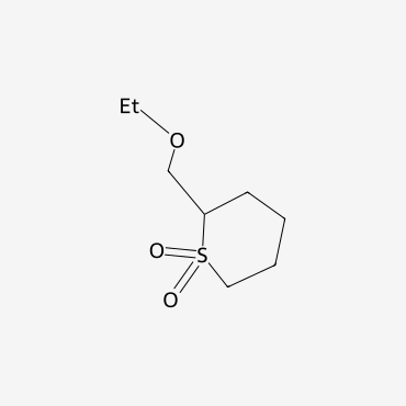 CCOCC1CCCCS1(=O)=O